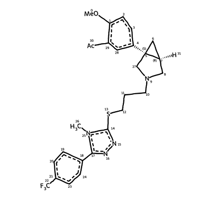 COc1ccc([C@]23C[C@H]2CN(CCCSc2nnc(-c4ccc(C(F)(F)F)cc4)n2C)C3)cc1C(C)=O